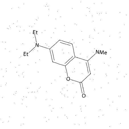 CCN(CC)c1ccc2c(NC)cc(=O)oc2c1